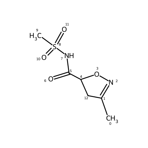 CC1=NOC(C(=O)NS(C)(=O)=O)C1